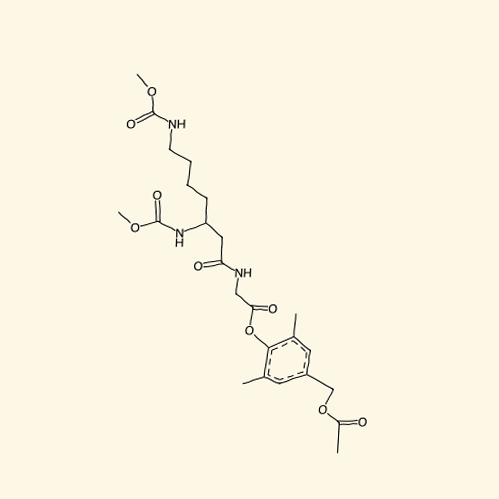 COC(=O)NCCCCC(CC(=O)NCC(=O)Oc1c(C)cc(COC(C)=O)cc1C)NC(=O)OC